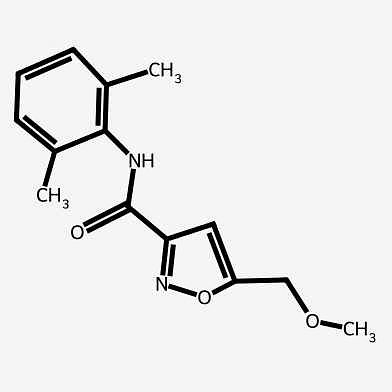 COCc1cc(C(=O)Nc2c(C)cccc2C)no1